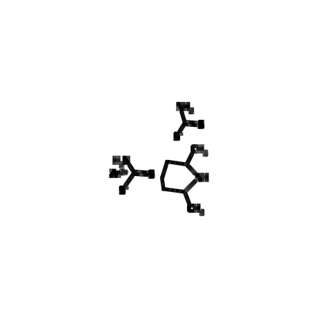 CC1CCCC(C)N1.NC(=S)[S-].NC(=S)[S-].[Zn+2]